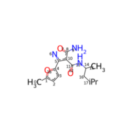 Cc1ccc(-c2noc(N)c2C(=O)NC(C)CC(C)C)o1